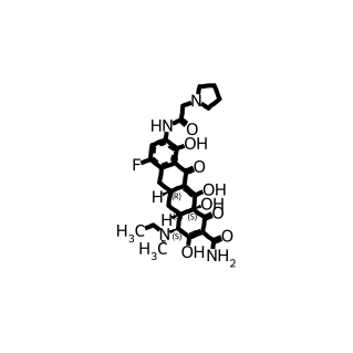 CCN(C)[C@@H]1C(O)=C(C(N)=O)C(=O)[C@@]2(O)C(O)=C3C(=O)c4c(O)c(NC(=O)CN5CCCC5)cc(F)c4C[C@H]3C[C@@H]12